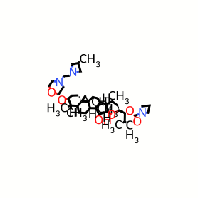 CC1CN(CCN2CCO[C@@H](OC3CC[C@]45C[C@]46CC[C@]4(C)[C@@H]7[C@H](O[C@@H]([C@H](OC(=O)N8CCC8)C(C)C)C[C@H]7C)[C@H](O)[C@@]4(C)[C@@H]6CC[C@H]5C3(C)C)C2)C1